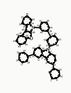 c1ccc(-c2ccc3c(c2)c2cc(-c4ccccc4)ccc2n3-c2cccc(-c3cccc(-n4c5ccccc5c5c6ccccc6oc54)c3)c2)cc1